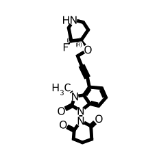 Cn1c(=O)n(N2C(=O)CCCC2=O)c2cccc(C#CCO[C@@H]3CCNC[C@H]3F)c21